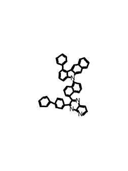 c1ccc(-c2ccc(-c3nc4ncccc4nc3-c3cccc4c(-n5c6cc7ccccc7cc6c6c(-c7ccccc7)cccc65)cccc34)cc2)cc1